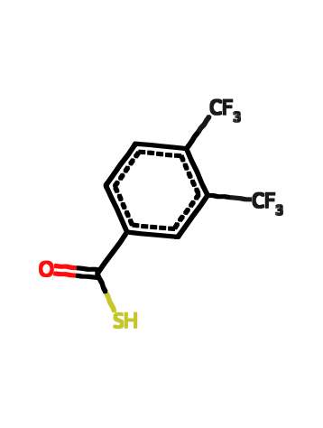 O=C(S)c1ccc(C(F)(F)F)c(C(F)(F)F)c1